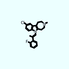 CC(=Cn1c2c(c3cc(Cl)ccc31)CCN(C)CC2)c1ccccc1F